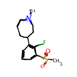 CCN1CCCC(c2cccc(S(C)(=O)=O)c2F)CC1